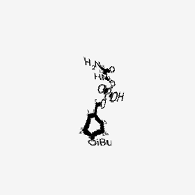 CC(C)COc1ccc(COP(=O)(O)ONC(N)=O)cc1